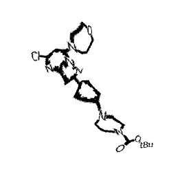 CC(C)(C)OC(=O)N1CCN(c2ccc(-c3cc4nc(Cl)cc(N5CCOCC5)n4n3)cc2)CC1